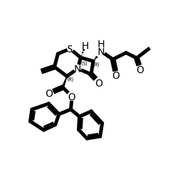 C=C1CS[C@H]2[C@H](NC(=O)CC(C)=O)C(=O)N2[C@H]1C(=O)OC(c1ccccc1)c1ccccc1